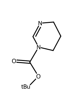 CC(C)(C)OC(=O)N1C=NCCC1